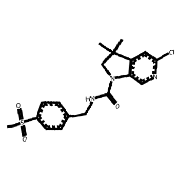 CC1(C)CN(C(=O)NCc2ccc(S(C)(=O)=O)cc2)c2cnc(Cl)cc21